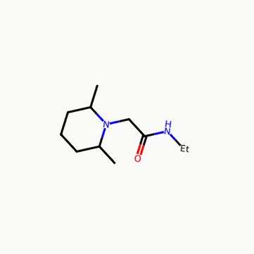 CCNC(=O)CN1C(C)CCCC1C